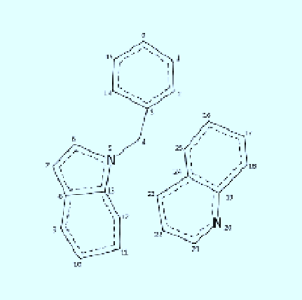 c1ccc(Cn2ccc3ccccc32)cc1.c1ccc2ncccc2c1